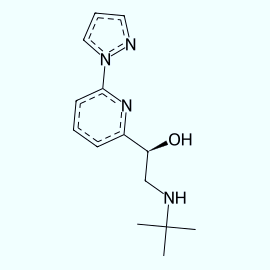 CC(C)(C)NC[C@H](O)c1cccc(-n2cccn2)n1